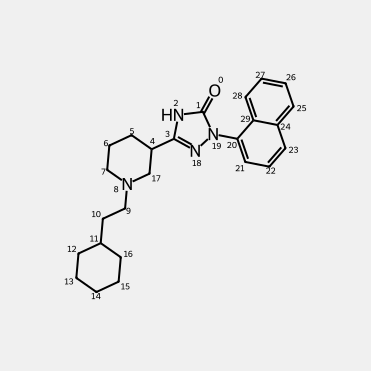 O=c1[nH]c(C2CCCN(CCC3CCCCC3)C2)nn1-c1cccc2ccccc12